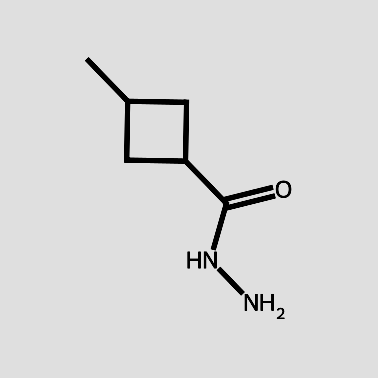 CC1CC(C(=O)NN)C1